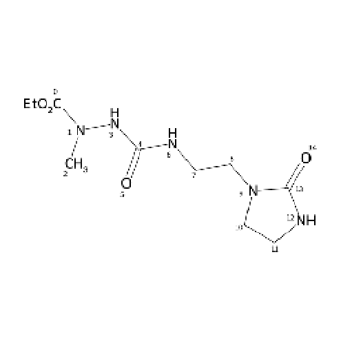 CCOC(=O)N(C)NC(=O)NCCN1CCNC1=O